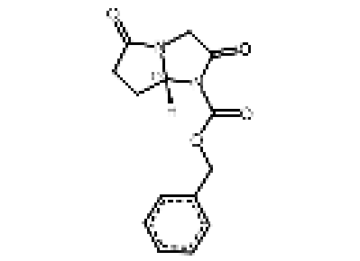 O=C1CC[C@@H]2N1CC(=O)N2C(=O)OCc1ccccc1